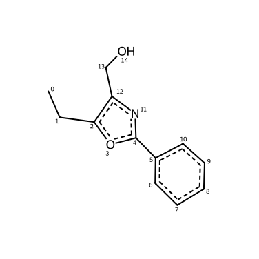 CCc1oc(-c2ccccc2)nc1CO